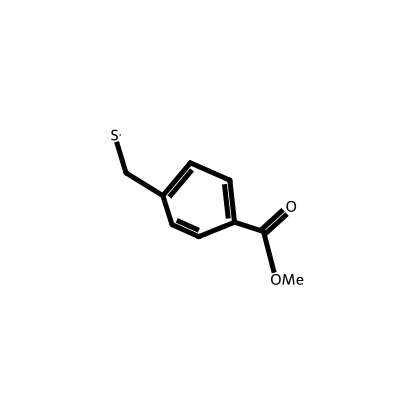 COC(=O)c1ccc(C[S])cc1